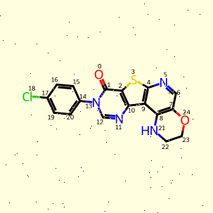 O=c1c2sc3ncc4c(c3c2ncn1-c1ccc(Cl)cc1)NCCO4